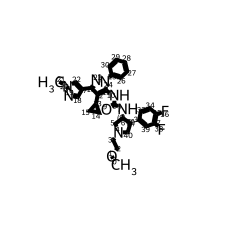 COCCN1C[C@@H](NC(=O)Nc2c(C3CC3)c(-c3cnn(C)c3)nn2-c2ccccc2)[C@H](c2ccc(F)c(F)c2)C1